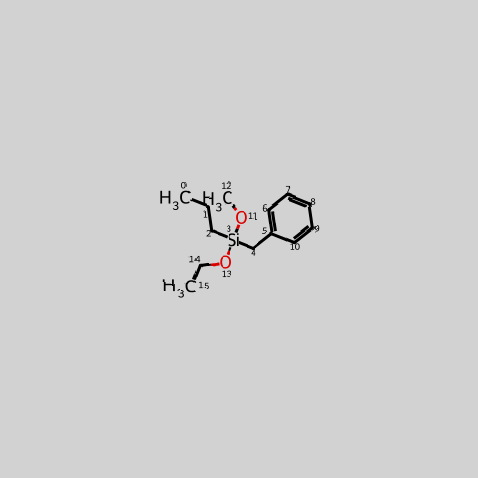 CCC[Si](Cc1ccccc1)(OC)OCC